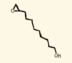 OCCCCCCCCCC1CO1